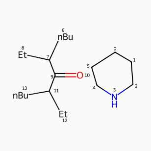 C1CCNCC1.CCCCC(CC)C(=O)C(CC)CCCC